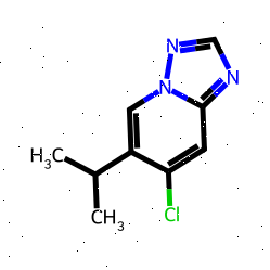 CC(C)c1cn2ncnc2cc1Cl